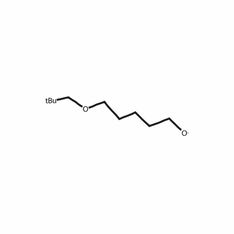 CC(C)(C)COCCCCC[O]